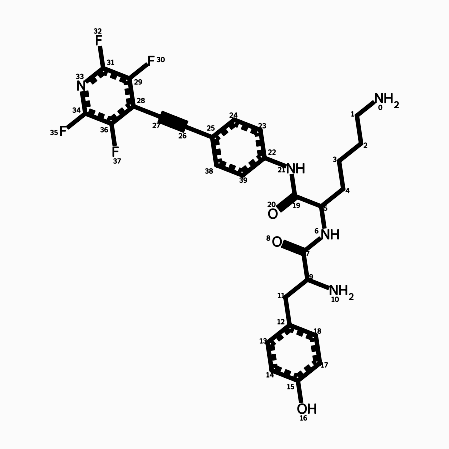 NCCCCC(NC(=O)C(N)Cc1ccc(O)cc1)C(=O)Nc1ccc(C#Cc2c(F)c(F)nc(F)c2F)cc1